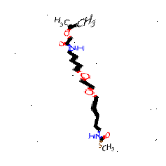 CSC(=O)NCCCCCOCCOCCCCCNC(=O)COC(C)C